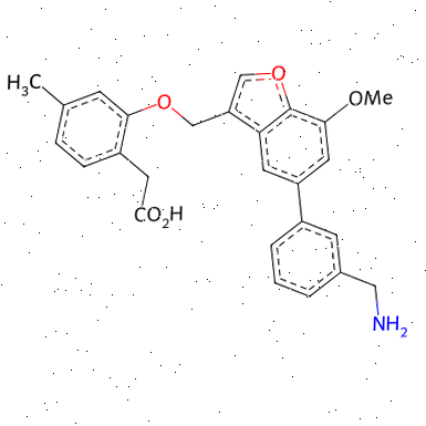 COc1cc(-c2cccc(CN)c2)cc2c(COc3cc(C)ccc3CC(=O)O)coc12